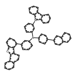 c1cc(-c2cccc3oc4c5ccccc5ccc4c23)cc(N(c2ccc(-c3ccc4ccccc4c3)cc2)c2cccc(-n3c4ccccc4c4ccccc43)c2)c1